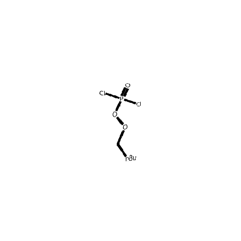 CCCCCOOP(=O)(Cl)Cl